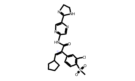 CS(=O)(=O)c1ccc(/C(=C\C2CCCC2)C(=O)Nc2cnc(C3=NCCN3)cn2)cc1Cl